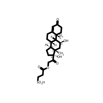 C[C@]12CCC(=O)C=C1CC[C@H]1[C@@H]3CC[C@](O)(C(=O)COC(=O)CCS(=O)(=O)O)[C@@]3(C)C[C@H](O)C12F